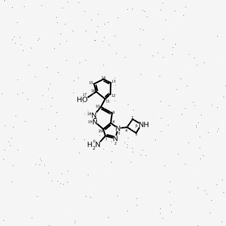 Nc1nn(C2CNC2)c2cc(-c3ccccc3O)nnc12